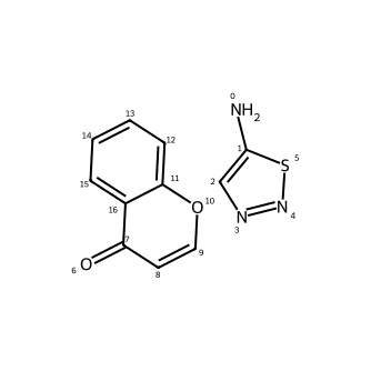 Nc1cnns1.O=c1ccoc2ccccc12